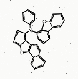 c1ccc(N(c2cccc3c2oc2ccccc23)c2cccc3oc4c5ccccc5ccc4c23)cc1